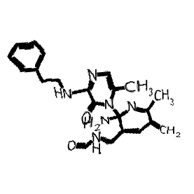 C=C1C=C(CNC=O)C(N)(n2c(C)cnc(NCCc3ccccc3)c2=O)N=C1C